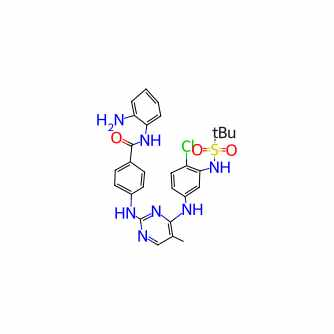 Cc1cnc(Nc2ccc(C(=O)Nc3ccccc3N)cc2)nc1Nc1ccc(Cl)c(NS(=O)(=O)C(C)(C)C)c1